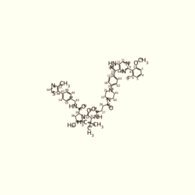 COc1cccc(F)c1-c1ncc2[nH]nc(-c3ccc(N4CCN(C(=O)CCC(=O)N[C@H](C(=O)N5C[C@H](O)C[C@H]5C(=O)NCc5ccc(-c6scnc6C)cc5)C(C)(C)C)CC4)cc3)c2n1